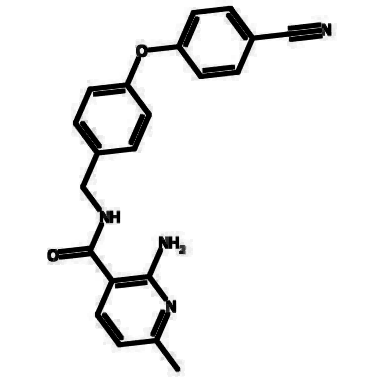 Cc1ccc(C(=O)NCc2ccc(Oc3ccc(C#N)cc3)cc2)c(N)n1